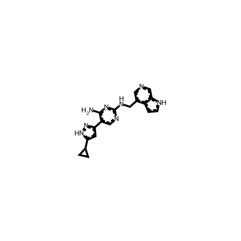 Nc1nc(NCc2cncc3[nH]ccc23)ncc1-c1cc(C2CC2)[nH]n1